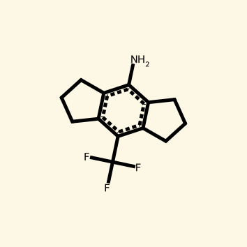 Nc1c2c(c(C(F)(F)F)c3c1CCC3)CCC2